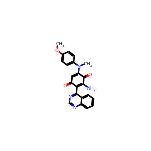 COc1ccc(N(C)C2=CC(=O)C(c3ncnc4ccccc34)=C(N)C2=O)cc1